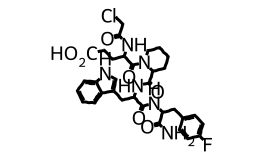 NC(=O)C(Cc1ccc(F)cc1)NC(=O)C(Cc1c[nH]c2ccccc12)NC(=O)C1CCCCN1C(=O)C(CCC(=O)O)NC(=O)CCl